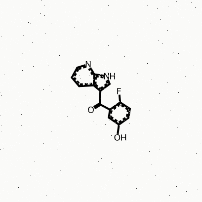 O=C(c1cc(O)ccc1F)c1c[nH]c2ncccc12